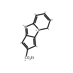 CCOC(=O)C1=Cc2nc3n(c2=C1)CC=CC=3